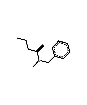 C=C(CCC)B(C)Cc1ccccc1